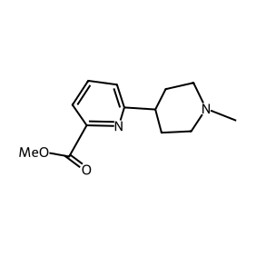 COC(=O)c1cccc(C2CCN(C)CC2)n1